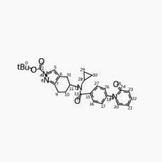 CC(C)(C)OC(=O)n1cc2c(n1)CCC(N(C(=O)c1ccc(-n3ccccc3=O)cc1)C1CC1)C2